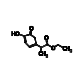 CCOC(=O)C(C)C1=CC=C(O)C(=O)C1